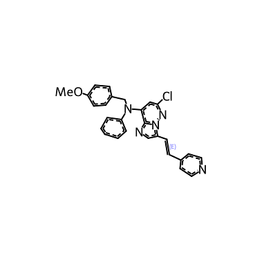 COc1ccc(CN(c2ccccc2)c2cc(Cl)nn3c(/C=C/c4ccncc4)cnc23)cc1